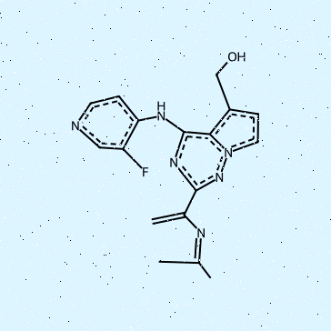 C=C(N=C(C)C)c1nc(Nc2ccncc2F)c2c(CO)ccn2n1